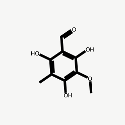 COc1c(O)c(C)c(O)c(C=O)c1O